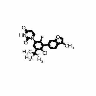 Cc1coc2cc(-c3c(F)c(-n4ccc(=O)[nH]c4=O)cc(C(C)(C)C)c3Cl)ccc12